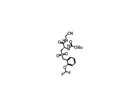 CC(C)COC(=O)N[C@@H](CS(=O)(=O)Cc1ccccc1OC(F)F)C(=O)NCC#N